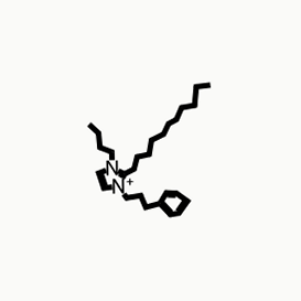 CCCCCCCCCCCc1n(CCCC)cc[n+]1CCCc1ccccc1